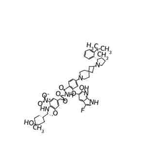 CC(C)(C)c1ccccc1[C@@H]1CCCN1C1CC2(CCN(c3ccc(C(=O)NS(=O)(=O)c4cc5c(c([N+](=O)[O-])c4)N[C@@H]([C@H]4CC[C@](C)(O)CC4)CO5)c(Oc4cc5c(F)c[nH]c5nc4O)c3)CC2)C1